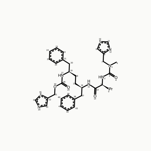 CC(C)[C@H](NC(=O)N(C)Cc1cscn1)C(=O)N[C@H](CC[C@H](Cc1ccccc1)NC(=O)OCc1cncs1)Cc1ccccc1